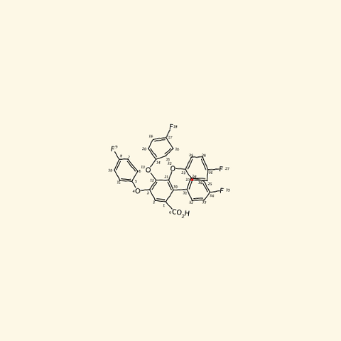 O=C(O)c1cc(Oc2ccc(F)cc2)c(Oc2ccc(F)cc2)c(Oc2ccc(F)cc2)c1-c1ccc(F)cc1